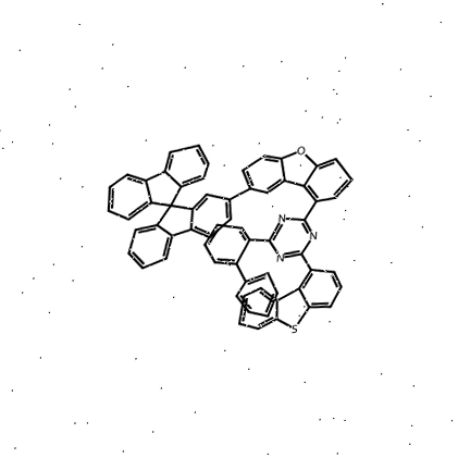 c1ccc(-c2ccccc2-c2nc(-c3cccc4oc5ccc(-c6ccc7c(c6)C6(c8ccccc8-c8ccccc86)c6ccccc6-7)cc5c34)nc(-c3cccc4sc5ccccc5c34)n2)cc1